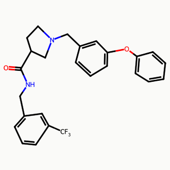 O=C(NCc1cccc(C(F)(F)F)c1)C1CCN(Cc2cccc(Oc3ccccc3)c2)C1